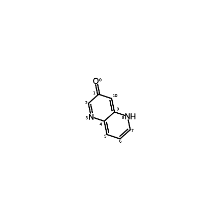 O=c1cnc2ccc[nH]c-2c1